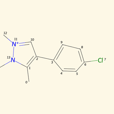 Cc1c(-c2ccc(Cl)cc2)c[n+](C)n1C